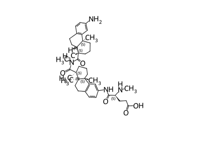 CN[C@@H](CCC(=O)O)C(=O)Nc1ccc2c(c1)[C@@]1(C)CCC[C@](C)(C(=O)N(C)C(=O)[C@@]3(C)CCC[C@]4(C)c5cc(N)ccc5CC[C@@H]34)[C@]1(C)CC2